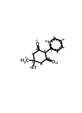 CCC1(C)CC(=O)C(c2ccccn2)C(=O)C1